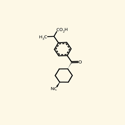 CC(C(=O)O)c1ccc(C(=O)[C@H]2CC[C@H](C#N)CC2)cc1